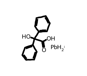 O=C(O)C(O)(c1ccccc1)c1ccccc1.[PbH2]